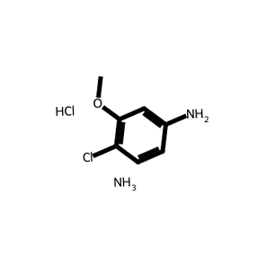 COc1cc(N)ccc1Cl.Cl.N